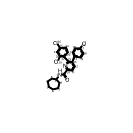 O=C(NC1CCCCCC1)c1ccc(-c2ccc(Cl)cc2)c(-c2ccc(Cl)cc2Cl)n1